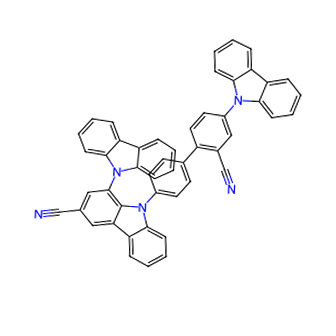 N#Cc1cc(-n2c3ccccc3c3ccccc32)c2c(c1)c1ccccc1n2-c1ccc(-c2ccc(-n3c4ccccc4c4ccccc43)cc2C#N)cc1